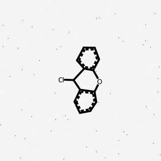 ClC1c2ccccc2Oc2ccccc21